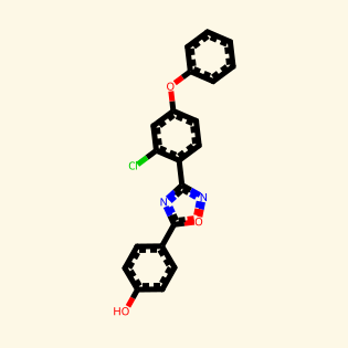 Oc1ccc(-c2nc(-c3ccc(Oc4ccccc4)cc3Cl)no2)cc1